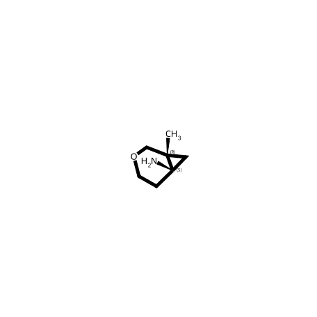 C[C@]12COCC[C@@]1(N)C2